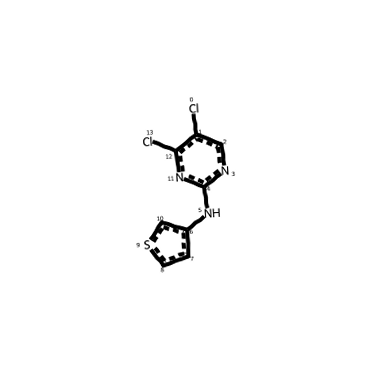 Clc1cnc(Nc2ccsc2)nc1Cl